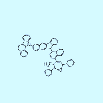 CC1C(C2=C3C=CC=CC3C(C3c4ccccc4-c4cc5cc(-n6c7c(c8ccccc86)CCc6ccccc6-7)ccc5cc43)C=C2)=CC(c2ccccc2)C2CC2C1c1ccccc1